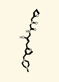 CN1CCN(Cc2ccnc(CC=C(O)CNC(=O)C[S+]([O-])Cc3ccco3)c2)CC1